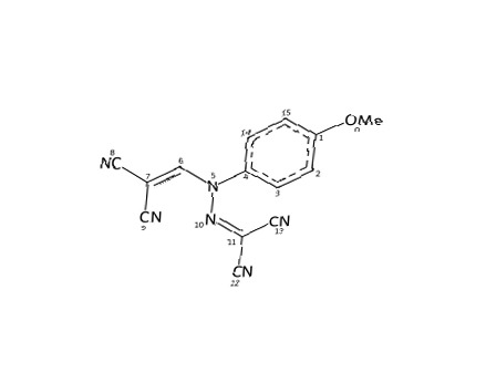 COc1ccc(N(C=C(C#N)C#N)N=C(C#N)C#N)cc1